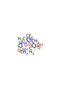 Cc1cc(C2(O)CCC2)c(F)c(C)c1Oc1nnc(C(F)(F)F)c(C)c1C(=O)Nc1cccc(S(C)(=N)=O)c1